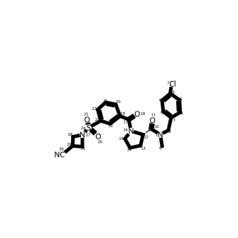 CN(Cc1ccc(Cl)cc1)C(=O)[C@@H]1CCCN1C(=O)c1cccc(S(=O)(=O)N2CC(C#N)C2)c1